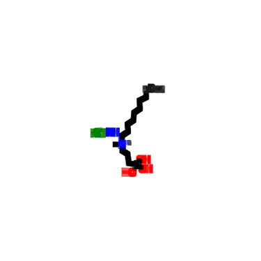 CCCCCCCCCCCCCCCCCC[N+](C)(C)CCC[Si](O)(O)O.Cl.N.[Cl-]